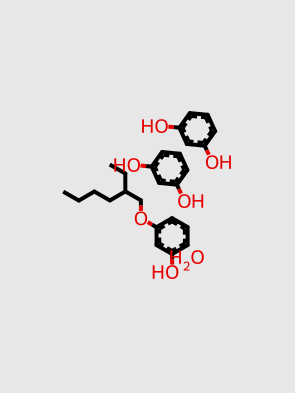 CCCCC(CC)COc1cccc(O)c1.O.Oc1cccc(O)c1.Oc1cccc(O)c1